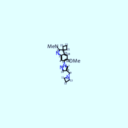 CNC1=Nc2cc(-n3cc(CN4CCC4)cn3)c(OC)cc2C12CCC2